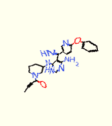 CC#CC(=O)N1CCCC(Nc2ncnc(N)c2C(=N)c2ccc(Oc3ccccc3)nc2)C1